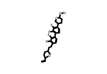 C=CC1CCC(CCc2ccc(-c3ccc(C4CCC(OCC)OC4)c(F)c3F)c(F)c2F)CO1